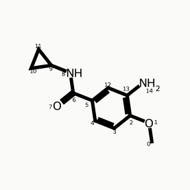 COc1ccc(C(=O)NC2CC2)cc1N